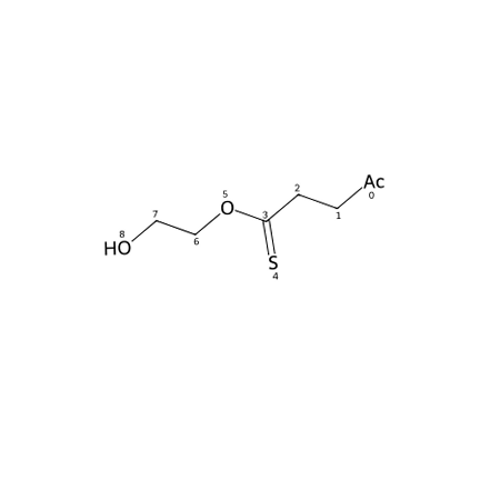 CC(=O)CCC(=S)OCCO